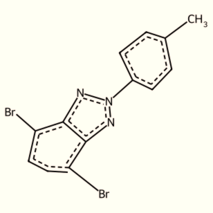 Cc1ccc(-n2nc3c(Br)ccc(Br)c3n2)cc1